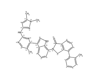 Cc1ccccc1-c1cccc2c1CN(c1cccc3c(-c4nc(Nc5cc(C)n(C)n5)ncc4C)c[nH]c13)C2=O